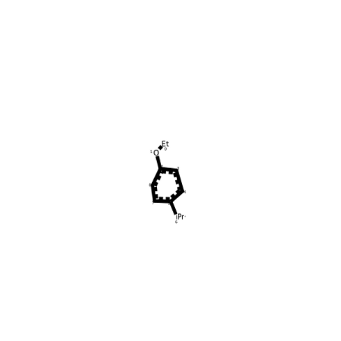 [CH2]COc1ccc([C](C)C)cc1